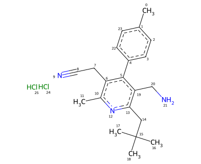 Cc1ccc(-c2c(CC#N)c(C)nc(CC(C)(C)C)c2CN)cc1.Cl.Cl